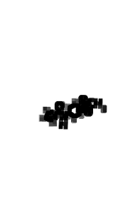 CS(=O)(=O)N1CCC(NC(=O)N2CCC2)CC1